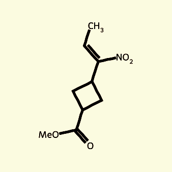 CC=C(C1CC(C(=O)OC)C1)[N+](=O)[O-]